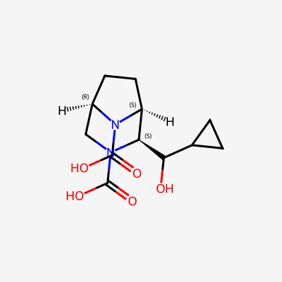 O=C(O)N1C[C@H]2CC[C@@H]([C@H]1C(O)C1CC1)N2C(=O)O